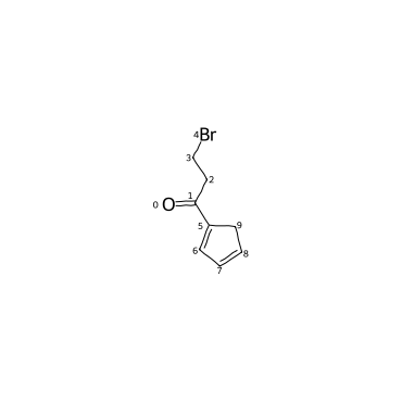 O=C(CCBr)C1=CC=CC1